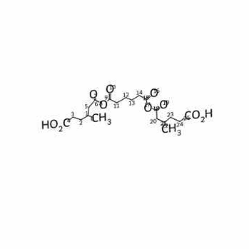 CC(CCC(=O)O)CC(=O)OC(=O)CCCCC(=O)OC(=O)CC(C)CCC(=O)O